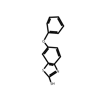 Sc1nc2ccc(Oc3ccccc3)cc2s1